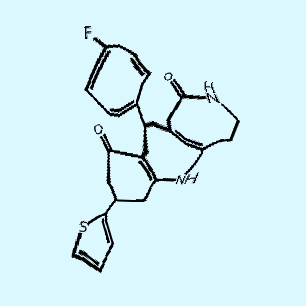 O=C1CC(c2cccs2)CC2=C1C(c1ccc(F)cc1)C1=C(CCNC1=O)N2